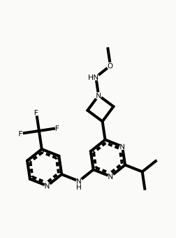 CONN1CC(c2cc(Nc3cc(C(F)(F)F)ccn3)nc(C(C)C)n2)C1